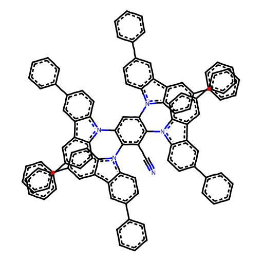 N#Cc1c(-n2c3ccc(-c4ccccc4)cc3c3cc(-c4ccccc4)ccc32)c(-n2c3ccc(-c4ccccc4)cc3c3cc(-c4ccccc4)ccc32)cc(-n2c3ccc(-c4ccccc4)cc3c3cc(-c4ccccc4)ccc32)c1-n1c2ccc(-c3ccccc3)cc2c2cc(-c3ccccc3)ccc21